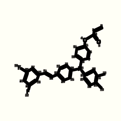 C=CC(=O)Oc1ccc(N(c2ccc(C=Cc3cc(F)cc(F)c3)cc2)c2ccc(C)c(C)c2)cc1